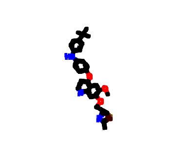 COc1cc2c(Oc3ccc(Nc4ccc(C(C)(C)C)cc4)cc3)ccnc2cc1OCc1csc(C)n1